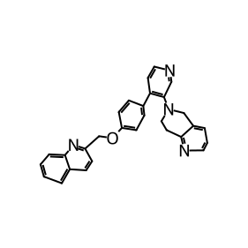 c1cnc2c(c1)CN(c1cnccc1-c1ccc(OCc3ccc4ccccc4n3)cc1)CC2